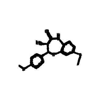 COc1ccc([C@@H]2Sc3cc(SC)ccc3NC(=O)[C@@H]2O)cc1